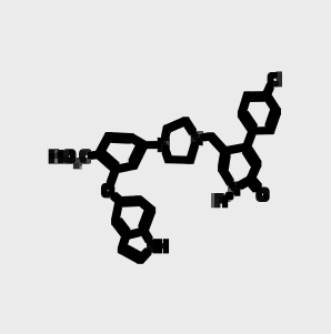 CCOC(=O)c1ccc(N2CCN(Cc3cn(C(C)C)c(=O)cc3-c3ccc(Cl)cc3)CC2)cc1Oc1ccc2[nH]ccc2c1